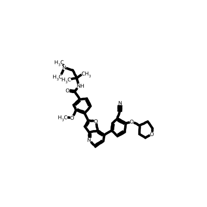 COc1cc(C(=O)NC(C)(C)CN(C)C)ccc1-c1cc2nccc(-c3ccc(OC4CCOCC4)c(C#N)c3)c2o1